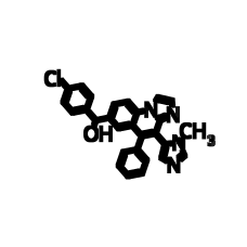 Cn1cncc1-c1c(-c2ccccc2)c2cc(C(O)c3ccc(Cl)cc3)ccc2n2ccnc12